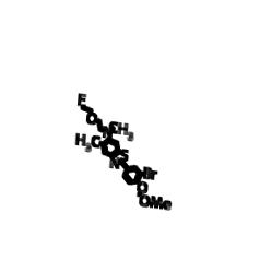 COCOc1ccc(-c2nc3cc(C)c(N(C)CCOCCF)cc3s2)cc1Br